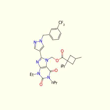 CCCn1c(=O)c2c(nc(-c3cnn(Cc4cccc(C(F)(F)F)c4)c3)n2COC(=O)C2(C(C)C)CC(C)C2)n(CC)c1=O